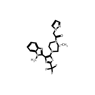 C[C@@H]1CN(c2sc(C(F)(F)F)nc2-c2nc3ccccc3n2C)CCN1C(=O)Cn1cccn1